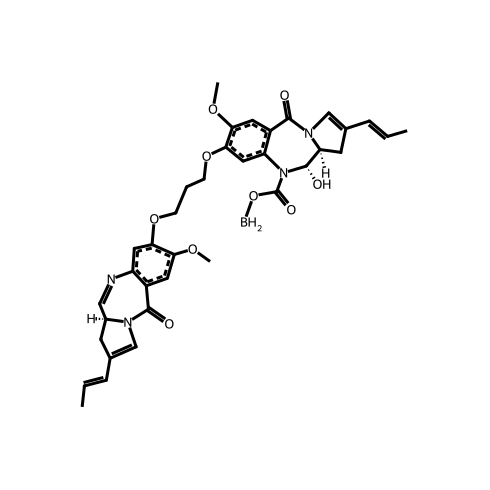 BOC(=O)N1c2cc(OCCCOc3cc4c(cc3OC)C(=O)N3C=C(/C=C/C)C[C@H]3C=N4)c(OC)cc2C(=O)N2C=C(/C=C/C)C[C@H]2[C@@H]1O